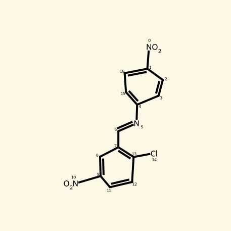 O=[N+]([O-])c1ccc(/N=C/c2cc([N+](=O)[O-])ccc2Cl)cc1